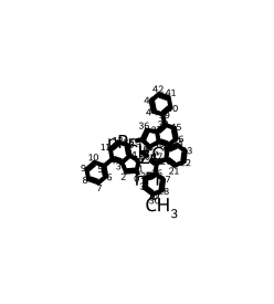 CCCC1=Cc2c(-c3ccccc3)cccc2[CH]1[Zr]([Cl])([Cl])(=[C](c1ccccc1)c1ccc(C)cc1)[CH]1C(CCC)=Cc2c(-c3ccccc3)cccc21